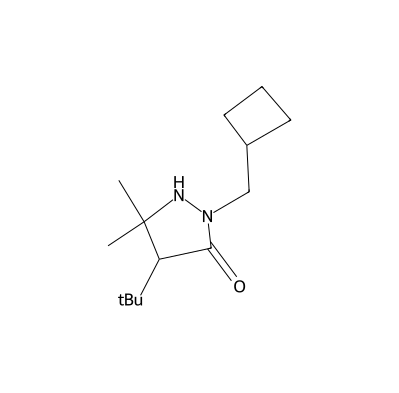 CC(C)(C)C1C(=O)N(CC2CCC2)NC1(C)C